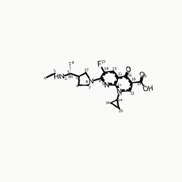 CCN[C@H](C)C1CCN(c2nc3c(cc2F)c(=O)c(C(=O)O)cn3C2CC2)C1